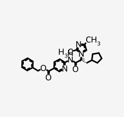 Cc1cn([C@H](CC2CCCC2)C(=O)Nc2ccc(C(=O)OCc3ccccc3)cn2)c(C)n1